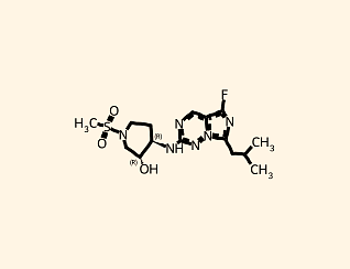 CC(C)Cc1nc(F)c2cnc(N[C@@H]3CCN(S(C)(=O)=O)C[C@H]3O)nn12